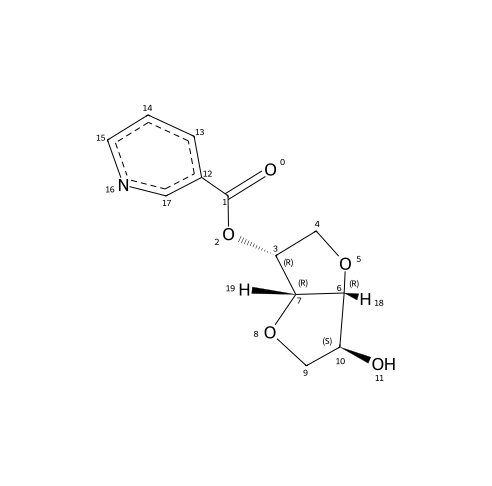 O=C(O[C@@H]1CO[C@H]2[C@@H]1OC[C@@H]2O)c1cccnc1